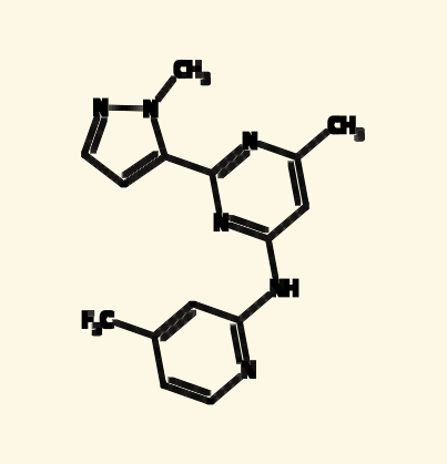 Cc1cc(Nc2cc(C(F)(F)F)ccn2)nc(-c2ccnn2C)n1